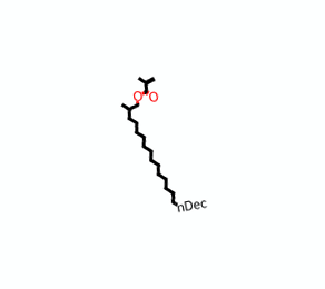 C=C(C)C(=O)OCC(C)CCCCCCCCCCCCCCCCCCCCCCC